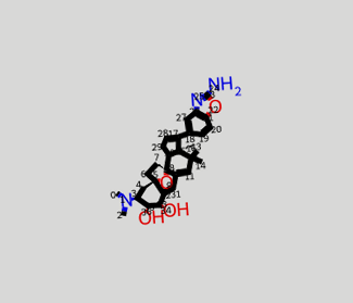 CN(C)[C@H]1C[C@@]23CC[C@@]4(O2)C(=CC(C)(C)[C@]2(C)C(c5ccc6oc(N)nc6c5)=CCC42)C=C3[C@@H](O)[C@@H]1O